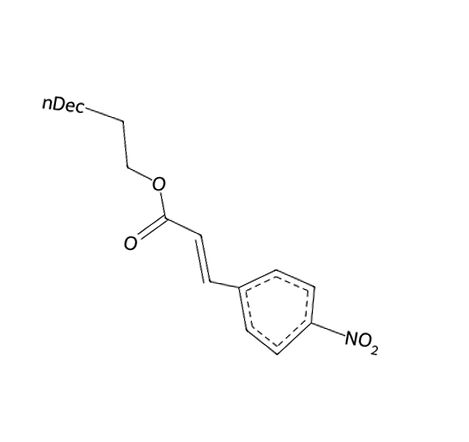 CCCCCCCCCCCCOC(=O)/C=C/c1ccc([N+](=O)[O-])cc1